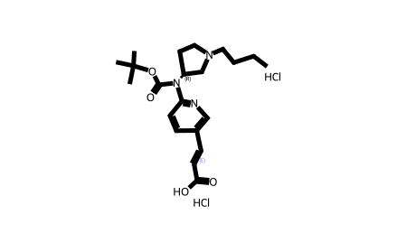 CCCCN1CC[C@@H](N(C(=O)OC(C)(C)C)c2ccc(/C=C/C(=O)O)cn2)C1.Cl.Cl